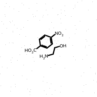 NCCO.O=C(O)c1ccc([N+](=O)[O-])cc1